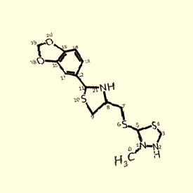 CN1NCSC1SCC1CSC(c2ccc3c(c2)OCO3)N1